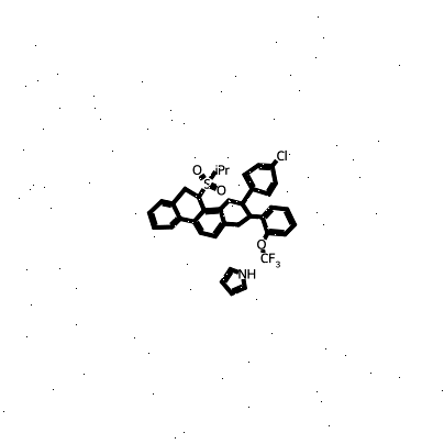 CC(C)S(=O)(=O)C1Cc2ccccc2-c2ccc3c(c21)CC(c1ccc(Cl)cc1)C(c1ccccc1OC(F)(F)F)C3.c1cc[nH]c1